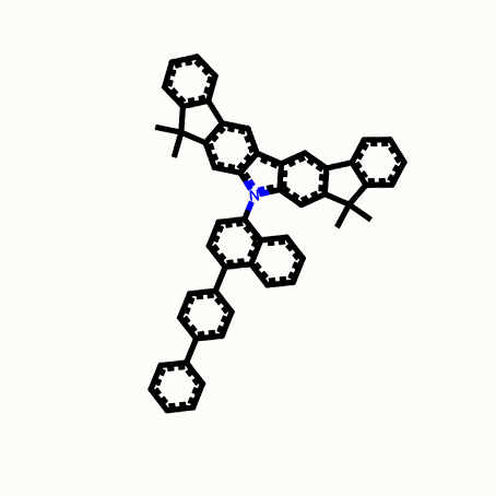 CC1(C)c2ccccc2-c2cc3c4cc5c(cc4n(-c4ccc(-c6ccc(-c7ccccc7)cc6)c6ccccc46)c3cc21)C(C)(C)c1ccccc1-5